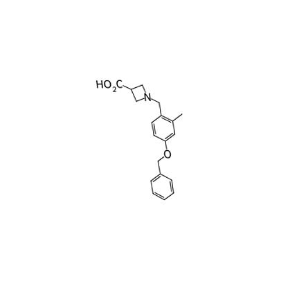 Cc1cc(OCc2ccccc2)ccc1CN1CC(C(=O)O)C1